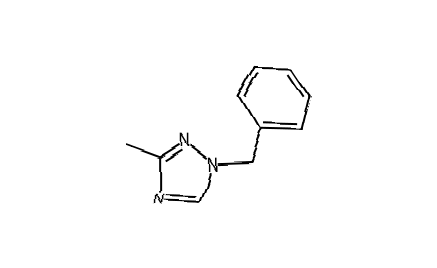 Cc1ncn(Cc2ccccc2)n1